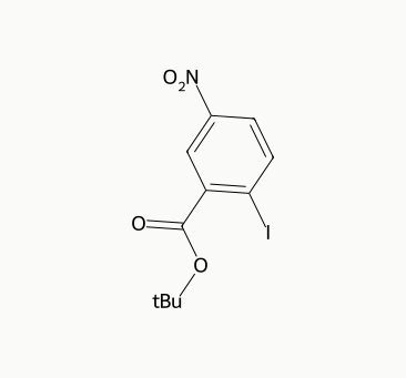 CC(C)(C)OC(=O)c1cc([N+](=O)[O-])ccc1I